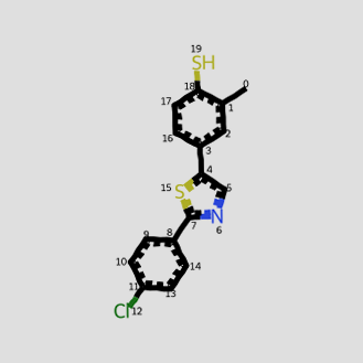 Cc1cc(-c2cnc(-c3ccc(Cl)cc3)s2)ccc1S